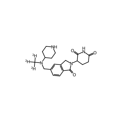 [2H]C([2H])([2H])N(Cc1ccc2c(c1)CN(C1CCC(=O)NC1=O)C2=O)C1CCNCC1